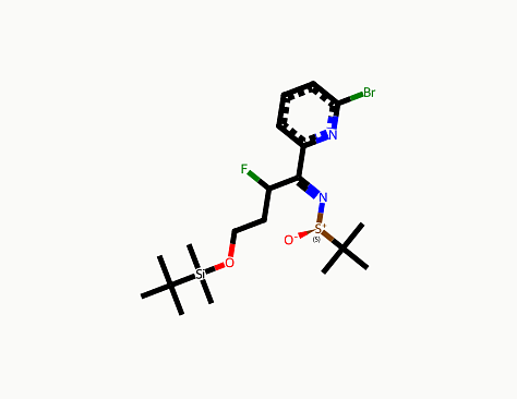 CC(C)(C)[S@@+]([O-])N=C(c1cccc(Br)n1)C(F)CCO[Si](C)(C)C(C)(C)C